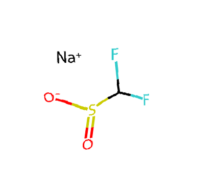 O=S([O-])C(F)F.[Na+]